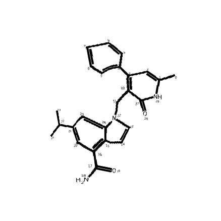 Cc1cc(-c2ccccc2)c(Cn2ccc3c(C(N)=O)cc(C(C)C)cc32)c(=O)[nH]1